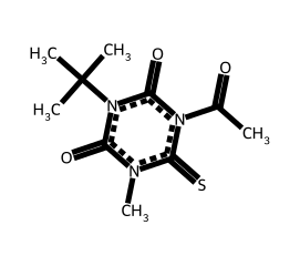 CC(=O)n1c(=S)n(C)c(=O)n(C(C)(C)C)c1=O